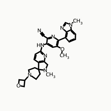 COc1cc(Nc2ccc3c(n2)CN(C)C32CCN(C3COC3)CC2)c(C#N)nc1-c1cccc2c1ncn2C